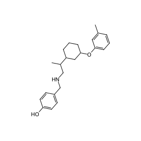 Cc1cccc(OC2CCCC(C(C)CNCc3ccc(O)cc3)C2)c1